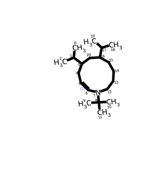 CC(C)C1C/C=C\N(C(C)(C)C)CCCCC(C(C)C)C1